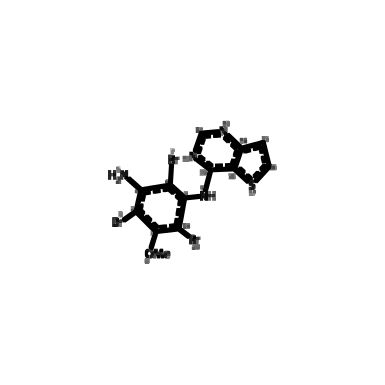 COc1c(Br)c(N)c(Br)c(Nc2ncnc3ccsc23)c1Br